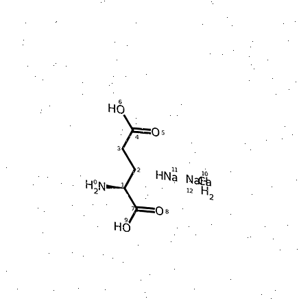 N[C@@H](CCC(=O)O)C(=O)O.[CaH2].[NaH].[NaH]